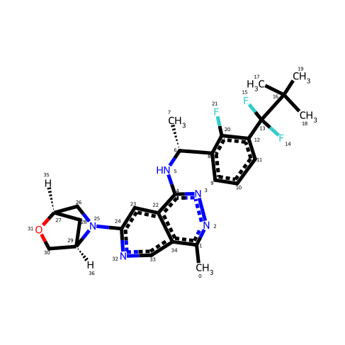 Cc1nnc(N[C@H](C)c2cccc(C(F)(F)C(C)(C)C)c2F)c2cc(N3C[C@H]4C[C@@H]3CO4)ncc12